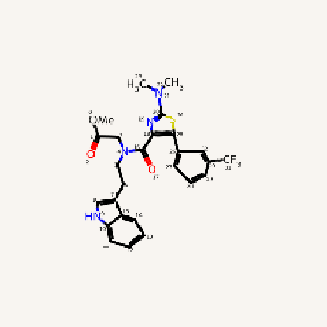 COC(=O)CN(CCc1c[nH]c2ccccc12)C(=O)c1nc(N(C)C)sc1-c1cccc(C(F)(F)F)c1